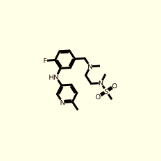 Cc1ccc(Nc2cc(CN(C)CCN(C)S(C)(=O)=O)ccc2F)cn1